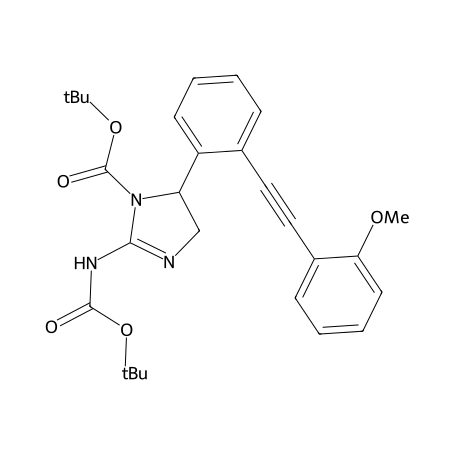 COc1ccccc1C#Cc1ccccc1C1CN=C(NC(=O)OC(C)(C)C)N1C(=O)OC(C)(C)C